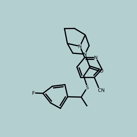 CC(SCC(=O)N1CC2CCC(C1)N2c1ccc(C#N)cn1)c1ccc(F)cc1